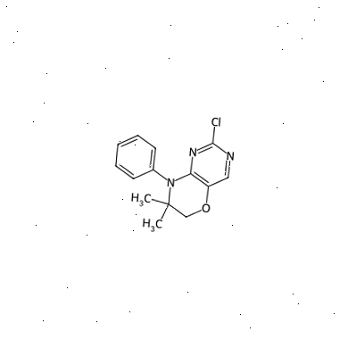 CC1(C)COc2cnc(Cl)nc2N1c1ccccc1